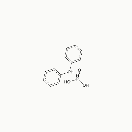 O=[PH](O)O.c1ccc(Pc2ccccc2)cc1